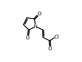 O=C(Cl)C=CN1C(=O)C=CC1=O